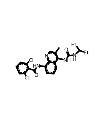 CCC(CC)NC(=O)Nc1c(C)cnc2c(NC(=O)c3c(Cl)cccc3Cl)cccc12